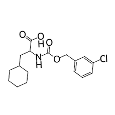 O=C(NC(CC1CCCCC1)C(=O)O)OCc1cccc(Cl)c1